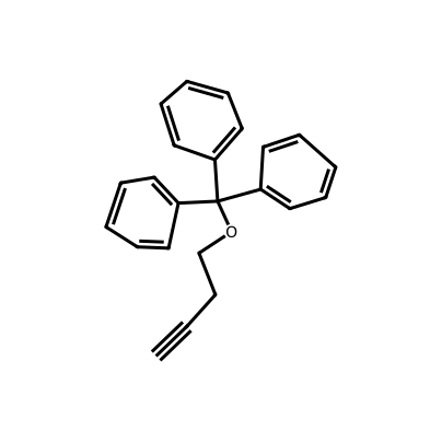 C#CCCOC(c1ccccc1)(c1ccccc1)c1ccccc1